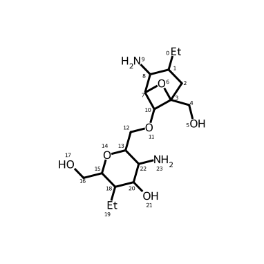 CCC1CC2(CO)OC(C1N)C2OCC1OC(CO)C(CC)C(O)C1N